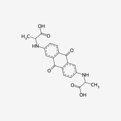 CC(Nc1ccc2c(c1)C(=O)c1ccc(NC(C)C(=O)O)cc1C2=O)C(=O)O